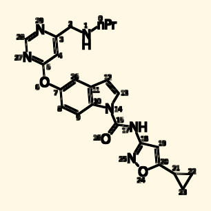 CCCNCc1cc(Oc2ccc3c(ccn3C(=O)Nc3cc(C4CC4)on3)c2)ncn1